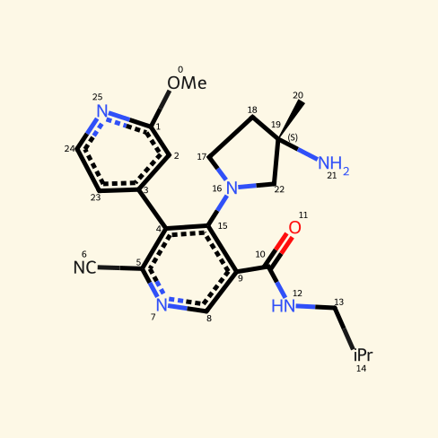 COc1cc(-c2c(C#N)ncc(C(=O)NCC(C)C)c2N2CC[C@](C)(N)C2)ccn1